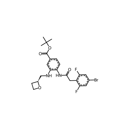 CC(C)(C)OC(=O)c1ccc(NC(=O)Cc2c(F)cc(Br)cc2F)c(NC[C@@H]2CCO2)c1